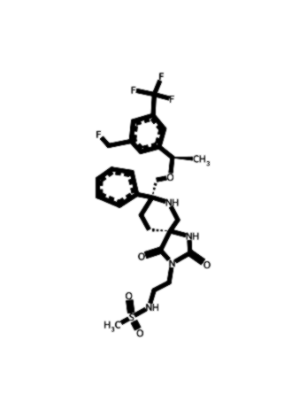 C[C@@H](OC[C@@]1(c2ccccc2)CC[C@]2(CN1)NC(=O)N(CCNS(C)(=O)=O)C2=O)c1cc(CF)cc(C(F)(F)F)c1